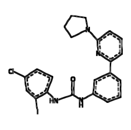 O=C(Nc1cccc(-c2cccc(N3CCCC3)n2)c1)Nc1ccc(Cl)cc1I